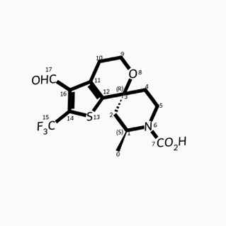 C[C@H]1C[C@@]2(CCN1C(=O)O)OCCc1c2sc(C(F)(F)F)c1C=O